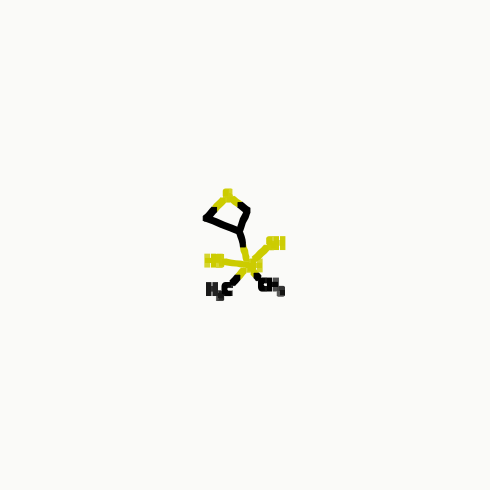 C[SH](C)(S)(S)C1CSC1